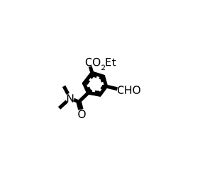 CCOC(=O)c1cc(C=O)cc(C(=O)N(C)C)c1